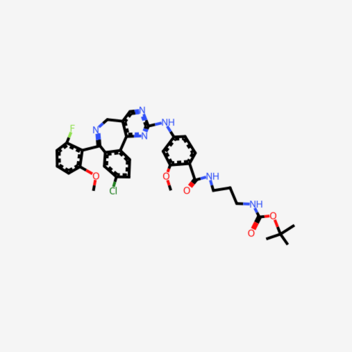 COc1cc(Nc2ncc3c(n2)-c2ccc(Cl)cc2C(c2c(F)cccc2OC)=NC3)ccc1C(=O)NCCCNC(=O)OC(C)(C)C